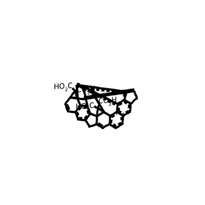 O=C(O)C1(C(=O)O)C23C=Cc4cc5c6c7c4C21c1c-7c2c4c7c(cc8ccc9c(c84)C24C(C(=O)O)(C(=O)O)C64C(=C9)C5)CC(=C3)c17